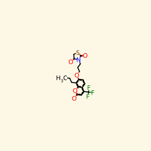 CCCc1c(OCCCN2C(=O)CSC2=O)ccc2c(C(F)(F)F)cc(=O)oc12